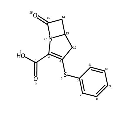 O=C(O)C1=C(Sc2ccccc2)CC2CC(=O)N12